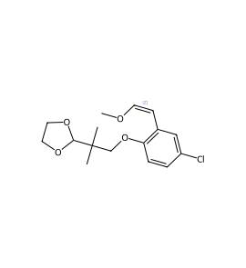 CO/C=C\c1cc(Cl)ccc1OCC(C)(C)C1OCCO1